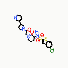 O=C(CN1CCC[C@H](NS(=O)(=O)c2cc3cc(Cl)ccc3s2)C1=O)N1CCC(c2cccnc2)C1